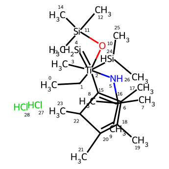 C[CH2][Ti]([CH3])(=[SiH2])([NH]C(C)(C)C)([O][Si](C)(C)C)([C]1=C(C)C(C)=C(C)C1C)[SiH](C)C.Cl.Cl